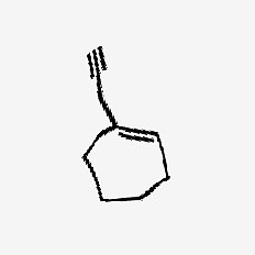 [C]#CC1=CCCCC1